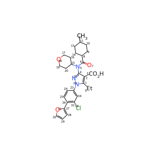 CCc1c(C(=O)O)c(N(C(=O)C2CCC(C)CC2)C2CCOCC2)nn1-c1ccc(-c2ccco2)c(Cl)c1